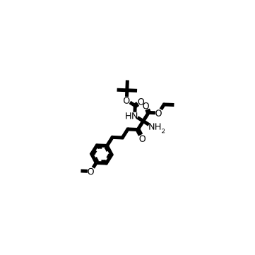 CCOC(=O)C(N)(NC(=O)OC(C)(C)C)C(=O)CCCc1ccc(OC)cc1